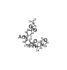 CC(=O)N(c1ccc(S(=O)(=O)CC2CC2)cc1)c1cccc(C(=O)NC(C)(C)CN2CCOCC2)c1